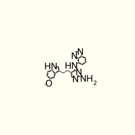 COc1ccc2[nH]cc(CCc3cnc(N)nc3Nc3cccc4c3ncn4C)c2c1